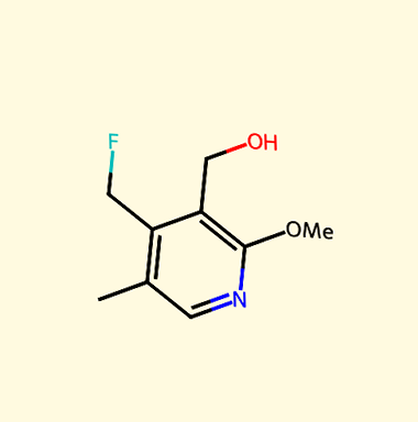 COc1ncc(C)c(CF)c1CO